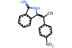 N#C/C(=C1\NC(=N)c2ccccc21)c1ccc([N+](=O)[O-])cc1